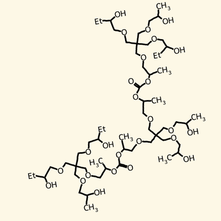 CCC(O)COCC(COCC(C)O)(COCC(O)CC)COCC(C)OC(=O)OC(C)COCC(COCC(C)O)(COCC(C)O)COCC(C)OC(=O)OC(C)COCC(COCC(C)O)(COCC(O)CC)COCC(O)CC